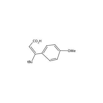 COc1ccc(/C(=C\C(=O)O)C(C)(C)C)cc1